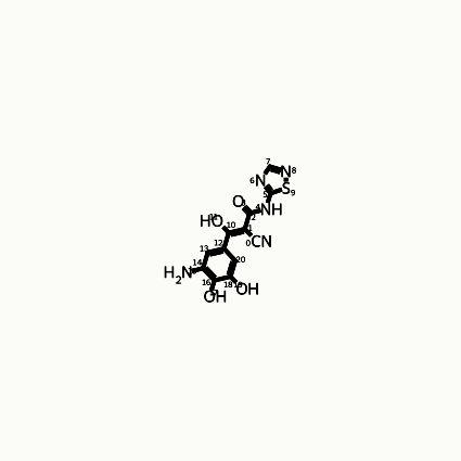 N#C/C(C(=O)Nc1ncns1)=C(/O)c1cc(N)c(O)c(O)c1